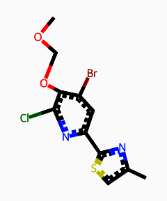 COCOc1c(Br)cc(-c2nc(C)cs2)nc1Cl